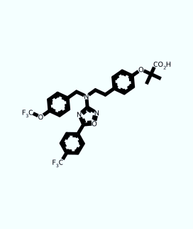 CC(C)(Oc1ccc(CCN(Cc2ccc(OC(F)(F)F)cc2)c2noc(-c3ccc(C(F)(F)F)cc3)n2)cc1)C(=O)O